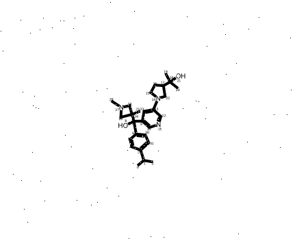 CC(C)c1ccc(C(O)(c2cncc(N3CCC(C(C)(C)O)C3)c2)C2(C)CN(C)C2)cc1